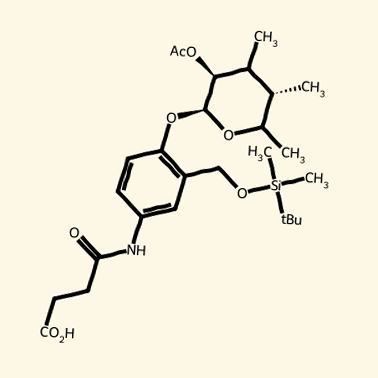 CC(=O)O[C@H]1C(C)[C@H](C)C(C)O[C@H]1Oc1ccc(NC(=O)CCC(=O)O)cc1CO[Si](C)(C)C(C)(C)C